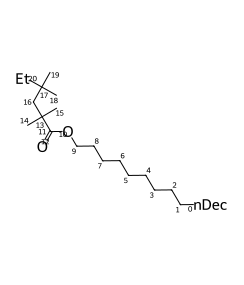 CCCCCCCCCCCCCCCCCCCOC(=O)C(C)(C)CC(C)(C)CC